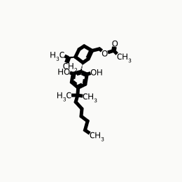 C=C(C)[C@H]1CCC(COC(C)=O)=C[C@@H]1c1c(O)cc(C(C)(C)CCCCCC)cc1O